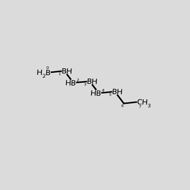 BBBBBBCC